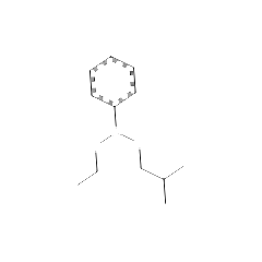 CCO[SiH](OCC(C)C)c1ccccc1